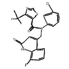 CC(C)(F)c1ncsc1C(=O)N(Cc1cc(=O)[nH]c2c(F)cccc12)c1cccc(Cl)c1